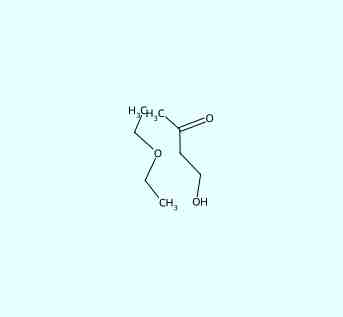 CC(=O)CCO.CCOCC